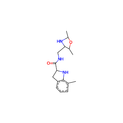 Cc1cccc2c1NC(C(=O)NCC1NC(C)OC1C)C2